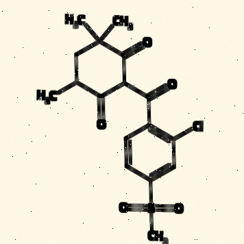 CC1CC(C)(C)C(=O)C(C(=O)c2ccc(S(C)(=O)=O)cc2Cl)C1=O